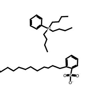 CCCCCCCCCCCCc1ccccc1S(=O)(=O)[O-].CCCC[P+](CCCC)(CCCC)c1ccccc1